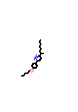 CCCCCCC(C)c1ccc(-c2ccc(OCCCCC)cc2)nn1